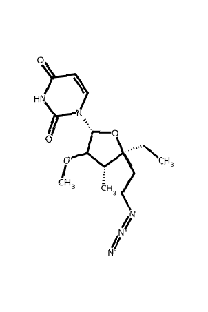 CC[C@@]1(CCN=[N+]=[N-])O[C@@H](n2ccc(=O)[nH]c2=O)C(OC)[C@H]1C